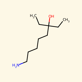 CCC(O)(CC)CCCCCN